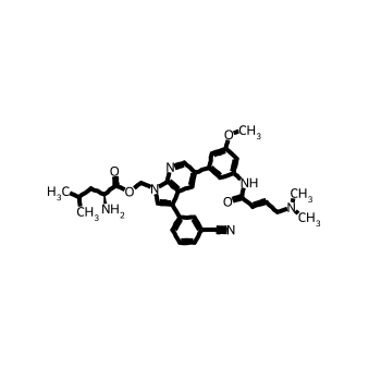 COc1cc(NC(=O)/C=C/CN(C)C)cc(-c2cnc3c(c2)c(-c2cccc(C#N)c2)cn3COC(=O)[C@@H](N)CC(C)C)c1